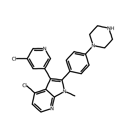 Cn1c(-c2ccc(N3CCNCC3)cc2)c(-c2cncc(Cl)c2)c2c(Cl)ccnc21